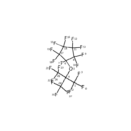 FC(F)(F)C(OC1(F)C(F)(F)C(F)(F)C(F)(F)C1(F)F)(C(F)(F)F)C(F)(F)F